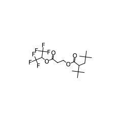 CC(C)(C)CC(C(=O)OCCC(=O)OC(C(F)(F)F)C(F)(F)F)C(C)(C)C